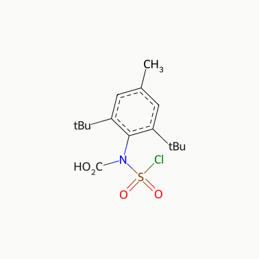 Cc1cc(C(C)(C)C)c(N(C(=O)O)S(=O)(=O)Cl)c(C(C)(C)C)c1